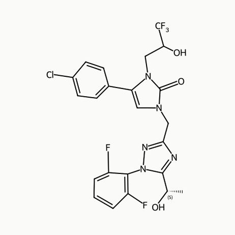 C[C@H](O)c1nc(Cn2cc(-c3ccc(Cl)cc3)n(CC(O)C(F)(F)F)c2=O)nn1-c1c(F)cccc1F